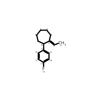 CC=C1CCCCCC1c1ccc(F)cc1